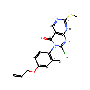 C=CCOc1ccc(-n2c(Cl)nc3nc(SC)ncc3c2=O)c(C)c1